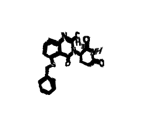 Cc1nc2cccc(SCc3ccccc3)c2c(=O)n1C1CCC(=O)NC1=O